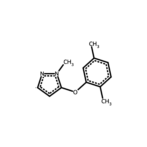 Cc1ccc(C)c(Oc2c[c]nn2C)c1